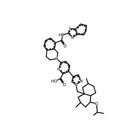 CC1CCC2C(OC(C)C)CC(C)CC2(Cn2cc(-c3ccc(N4CCc5cccc(C(=O)Nc6nc7ccccc7s6)c5C4)nc3C(=O)O)cn2)C1